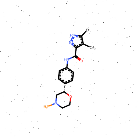 CCc1[nH]nc(C(=O)Nc2ccc([C@H]3CN(P)CCO3)cc2)c1C